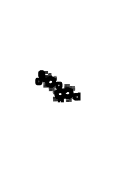 O=[N+]([O-])c1ccc(Oc2ccnc3cc(Cl)ccc23)cc1